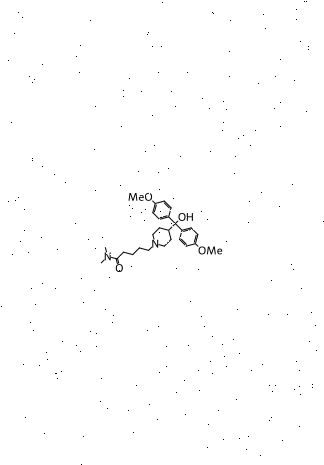 COc1ccc(C(O)(c2ccc(OC)cc2)C2CCN(CCCCC(=O)N(C)C)CC2)cc1